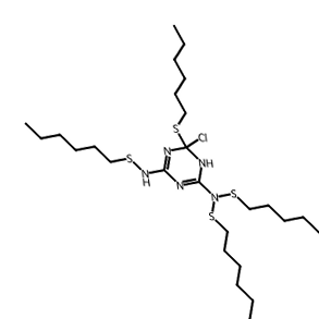 CCCCCCSNC1=NC(Cl)(SCCCCCC)NC(N(SCCCCCC)SCCCCCC)=N1